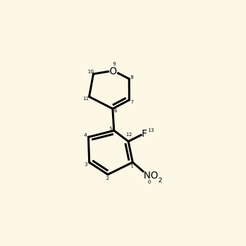 O=[N+]([O-])c1cccc(C2=CCOCC2)c1F